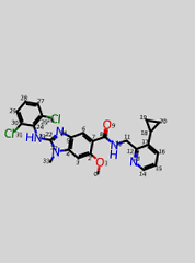 COc1cc2c(cc1C(=O)NCc1ncccc1C1CC1)nc(Nc1c(Cl)cccc1Cl)n2C